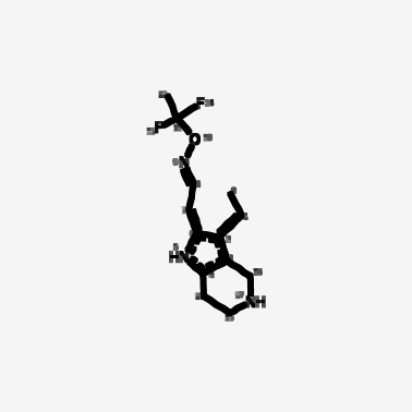 C/C=c1/c2c([nH]/c1=C/C=N/OC(C)(F)F)CCNC2